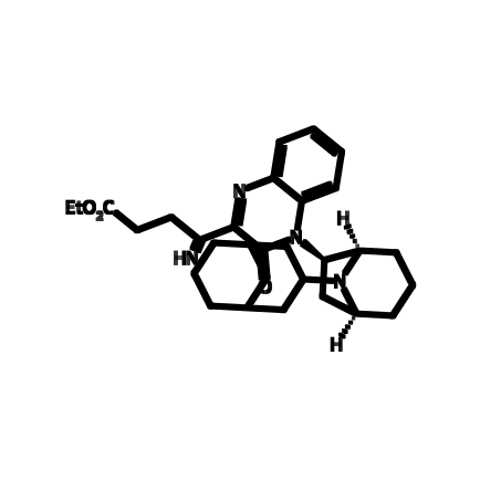 CCOC(=O)CCC(=N)c1nc2ccccc2n([C@@H]2C[C@@H]3CCC[C@H]2N3C2CC3CCCC(C3)C2)c1=O